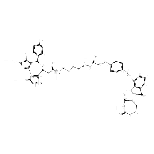 Cc1sc2c(c1C)C(c1ccc(Cl)cc1)=NC(CC(=O)NCCCCNCC(=O)NCc1ccc(COc3cccc4c3CN([C@H]3CCCC(=O)NC3=O)C4=O)cc1)c1nnc(C)n1-2